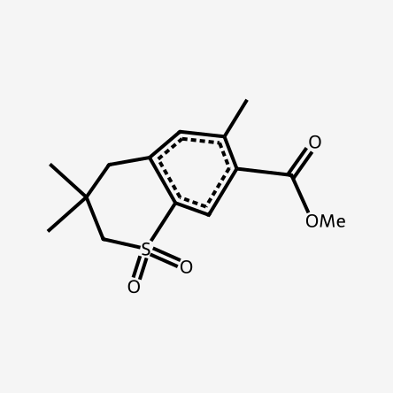 COC(=O)c1cc2c(cc1C)CC(C)(C)CS2(=O)=O